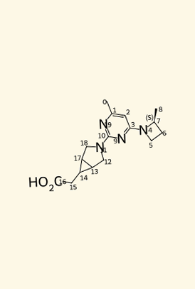 Cc1cc(N2CC[C@@H]2C)nc(N2CC3C(CC(=O)O)C3C2)n1